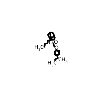 CCCCCC1(OC(=O)COc2ccc(C(C)CC)cc2)C2CC3CC(C2)CC1C3